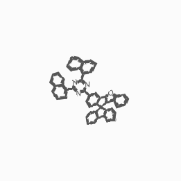 c1ccc2c(c1)-c1ccccc1C21c2ccc(-c3nc(-c4cccc5ccccc45)nc(-c4cccc5ccccc45)n3)cc2-c2oc3ccccc3c21